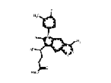 CCCC(CCC(=O)OC)c1c(C(C)C)n(-c2ccc(F)c(C)c2)c2cc3c(C)n[nH]c3cc12